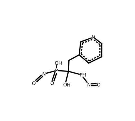 O=NPC(O)(Cc1cccnc1)P(=O)(O)N=O